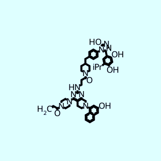 C=CC(=O)N1CCN(c2nc(NCCC(=O)N3CCC(Cc4ccc(-n5c(O)nnc5-c5cc(C(C)C)c(O)cc5O)cc4)CC3)nc3c2CCN(c2cc(O)cc4ccccc24)C3)CC1